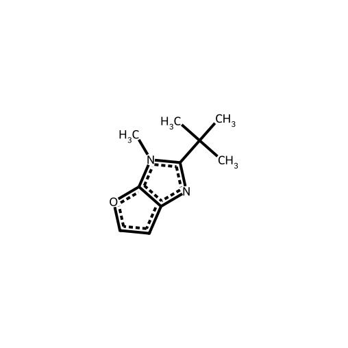 Cn1c(C(C)(C)C)nc2ccoc21